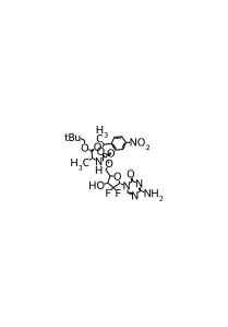 CC(OP(=O)(N[C@@H](C)C(=O)OCC(C)(C)C)OCC1O[C@@H](n2cnc(N)nc2=O)C(F)(F)[C@H]1O)c1ccc([N+](=O)[O-])cc1